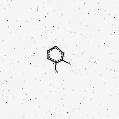 CC(C)c1ccccc1[S]